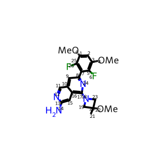 COc1cc(OC)c(F)c(-c2cc3cnc(N)cc3c(N3CC(C)(OC)C3)n2)c1F